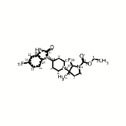 CCOC(=O)N1CCC(C)(N2CCC(n3c(=O)[nH]c4cc(F)ccc43)CC2)C1F